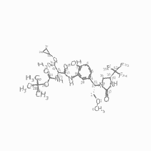 COC[C@H](c1ccc(O)c(NC(=O)[C@@H](NC(=O)OC(C)(C)C)[C@@H](C)OC2CC2)c1)N1C[C@@H](C(F)(F)F)NC1=O